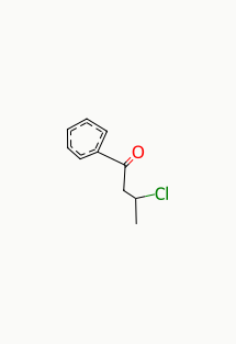 CC(Cl)CC(=O)c1ccccc1